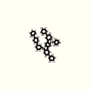 c1ccc(-c2ccc(-c3cccc(-n4c5ccc(-c6ccccc6)cc5c5cc6c(cc54)c4cc(-c5ccccc5)ccc4n6-c4ccccc4)c3)cc2)cc1